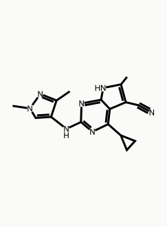 Cc1nn(C)cc1Nc1nc(C2CC2)c2c(C#N)c(C)[nH]c2n1